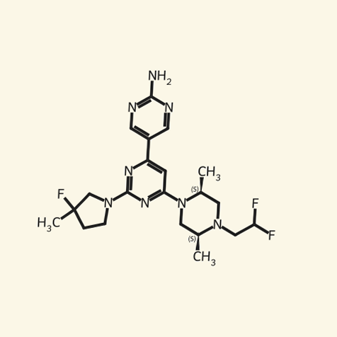 C[C@H]1CN(c2cc(-c3cnc(N)nc3)nc(N3CCC(C)(F)C3)n2)[C@@H](C)CN1CC(F)F